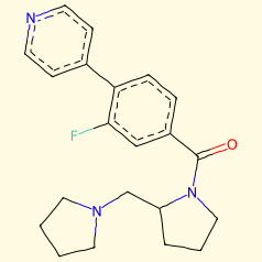 O=C(c1ccc(-c2ccncc2)c(F)c1)N1CCCC1CN1CCCC1